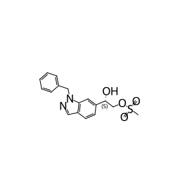 CS(=O)(=O)OC[C@@H](O)c1ccc2cnn(Cc3ccccc3)c2c1